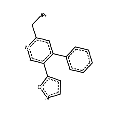 CC(C)Cc1cc(-c2ccccc2)c(-c2ccno2)[c]n1